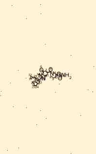 COc1cc(C(=O)N2CCC[C@@H](OC(N)=O)C2)cc2nc(-c3cc4ccsc4n3CC3CC3)n(C)c12